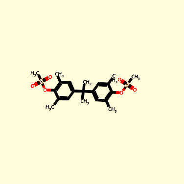 Cc1cc(C(C)(C)c2cc(C)c(OS(C)(=O)=O)c(C)c2)cc(C)c1OS(C)(=O)=O